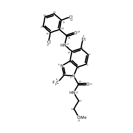 CCc1ccc2c(nc(C(F)(F)F)n2C(=O)NCCOC)c1NC(=O)c1c(Cl)cccc1Cl